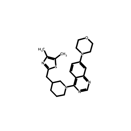 Cc1nc(CC2CCCN(c3ncnc4cc(N5CCOCC5)ccc34)C2)sc1C